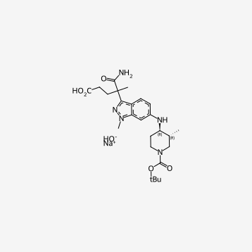 C[C@@H]1CN(C(=O)OC(C)(C)C)CC[C@H]1Nc1ccc2c(C(C)(CCC(=O)O)C(N)=O)nn(C)c2c1.[Na+].[OH-]